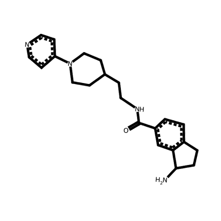 NC1CCc2ccc(C(=O)NCCC3CCN(c4ccncc4)CC3)cc21